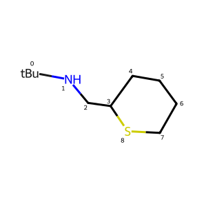 CC(C)(C)NCC1CCCCS1